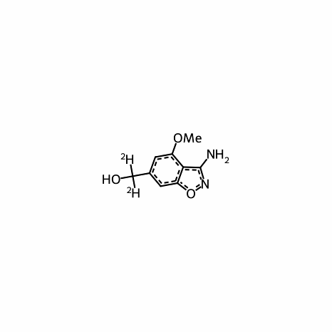 [2H]C([2H])(O)c1cc(OC)c2c(N)noc2c1